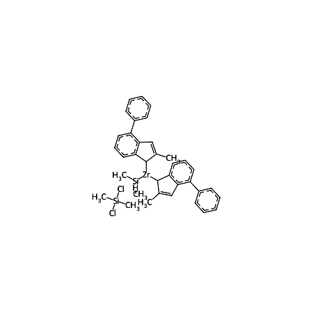 CC1=Cc2c(-c3ccccc3)cccc2[CH]1[Zr]([CH]1C(C)=Cc2c(-c3ccccc3)cccc21)[SiH](C)C.C[Si](C)(Cl)Cl